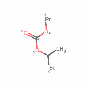 CCC(C)C(C)OC(=O)OC(C)C